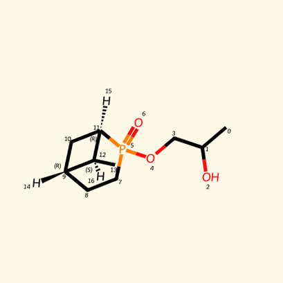 CC(O)COP1(=O)CC[C@@H]2C[C@@H]1[C@H]2C